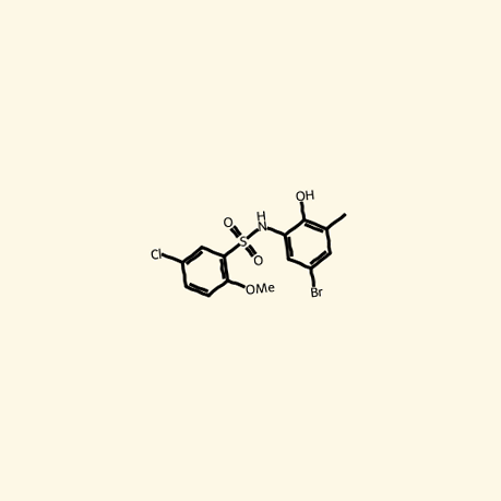 COc1ccc(Cl)cc1S(=O)(=O)Nc1cc(Br)cc(C)c1O